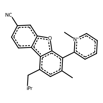 Cc1cc(CC(C)C)c2c(oc3cc(C#N)ccc32)c1-c1cccc[n+]1C